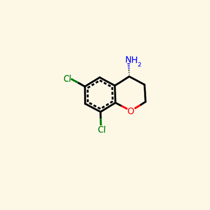 N[C@@H]1CCOc2c(Cl)cc(Cl)cc21